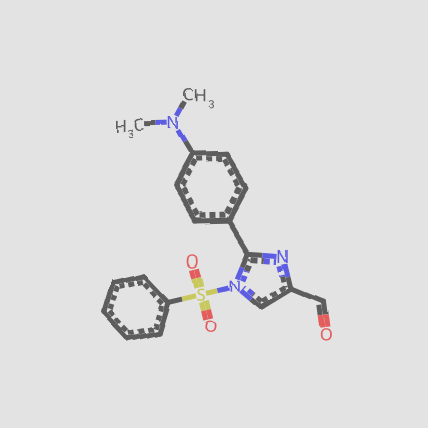 CN(C)c1ccc(-c2nc(C=O)cn2S(=O)(=O)c2ccccc2)cc1